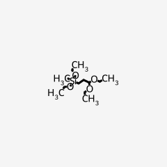 CCOC(CC[Si](C)(OCC)OCC)OCC